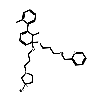 Cc1ccccc1C1=CC=CC(OCCCNCc2ccccn2)(OCCCN2CC[C@@H](O)C2)C1C